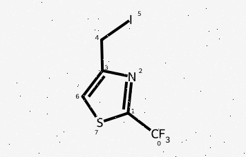 FC(F)(F)c1nc(CI)cs1